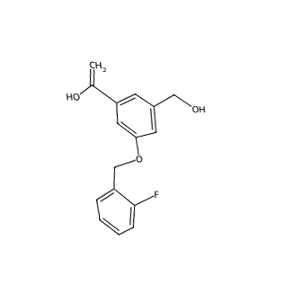 C=C(O)c1cc(CO)cc(OCc2ccccc2F)c1